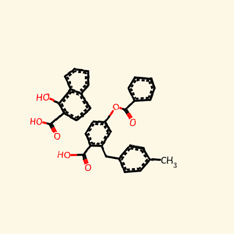 Cc1ccc(Cc2cc(OC(=O)c3ccccc3)ccc2C(=O)O)cc1.O=C(O)c1ccc2ccccc2c1O